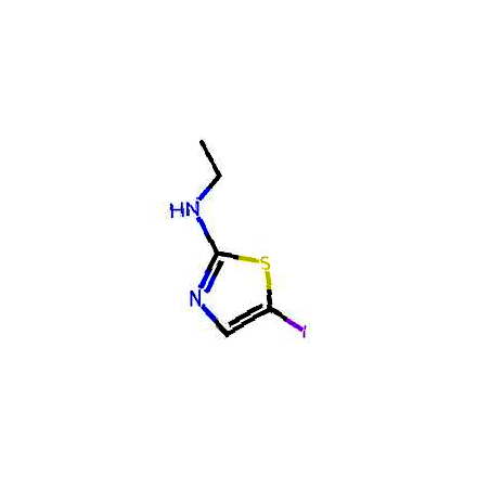 CCNc1ncc(I)s1